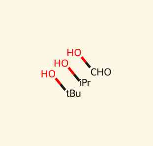 CC(C)(C)O.CC(C)O.O=CO